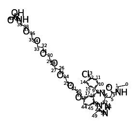 CCNC(=O)C[C@@H]1N=C(c2ccc(Cl)cc2)c2cc(OCCOCCOCCOCCOCCOCCOCCNC(=O)O)ccc2-n2c(C)nnc21